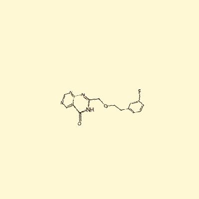 O=c1[nH]c(COCCc2cccc(F)c2)nc2ncncc12